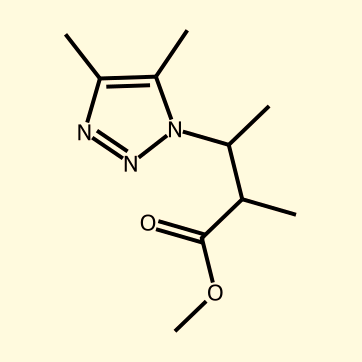 COC(=O)C(C)C(C)n1nnc(C)c1C